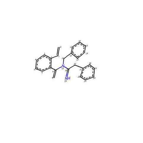 C=Cc1ccccc1C(=C)N(Cc1ccccc1)C(=N)Cc1ccccc1